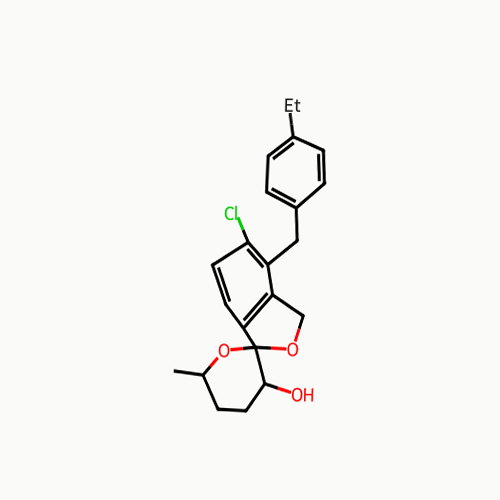 CCc1ccc(Cc2c(Cl)ccc3c2COC32OC(C)CCC2O)cc1